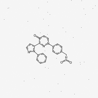 O=c1ccn(-c2ccc(C[SH](=O)=O)cc2)nc1-c1ccnn1-c1ccccc1